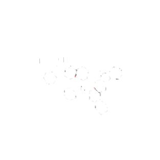 CC1(C)c2ccccc2-c2c(-c3ccccc3N(c3ccc4ccccc4c3)c3ccccc3-c3cccc4c3sc3ccccc34)cccc21